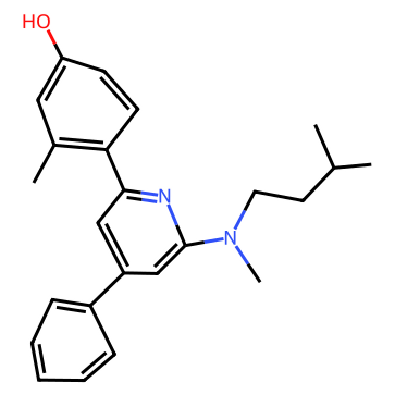 Cc1cc(O)ccc1-c1cc(-c2ccccc2)cc(N(C)CCC(C)C)n1